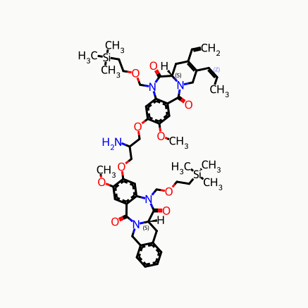 C=CC1=C(/C=C\C)CN2C(=O)c3cc(OC)c(OCC(N)COc4cc5c(cc4OC)C(=O)N4Cc6ccccc6C[C@H]4C(=O)N5COCC[Si](C)(C)C)cc3N(COCC[Si](C)(C)C)C(=O)[C@@H]2C1